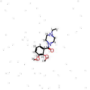 [CH2]CN1CCN(C(=O)c2cccc(OC)c2OC)CC1